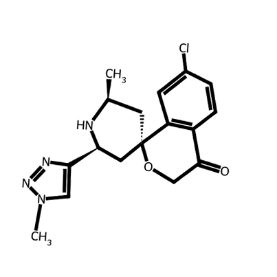 C[C@H]1C[C@@]2(C[C@@H](c3cn(C)nn3)N1)OCC(=O)c1ccc(Cl)cc12